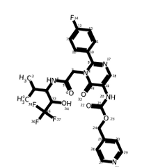 CC(C)C(NC(=O)Cn1c(-c2ccc(F)cc2)ncc(NC(=O)OCc2ccncc2)c1=O)C(O)C(F)(F)F